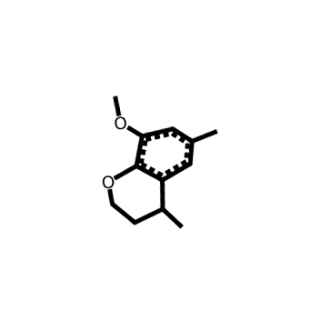 COc1cc(C)cc2c1OCCC2C